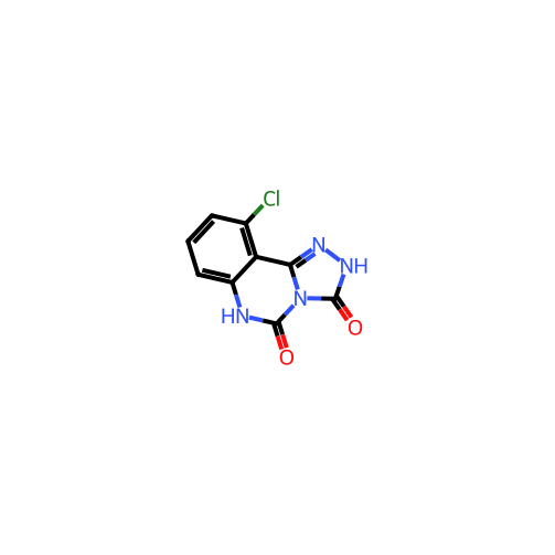 O=c1[nH]nc2c3c(Cl)cccc3[nH]c(=O)n12